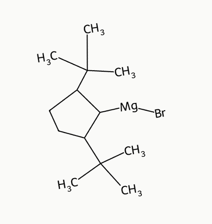 CC(C)(C)C1CCC(C(C)(C)C)[CH]1[Mg][Br]